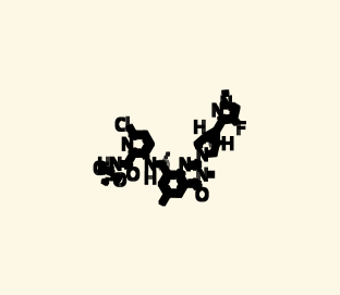 Cc1cc([C@@H](C)Nc2ccc(Cl)nc2C(=O)NS(C)(=O)=O)c2nc(N3C[C@@H]4C(c5nn(C)cc5F)[C@@H]4C3)n(C)c(=O)c2c1